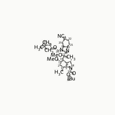 COc1cc(C)c2c(ccn2C(=O)OC(C)(C)C)c1C(C)(OC)c1nc2ccc(C#N)cc2n1COCC[Si](C)(C)C